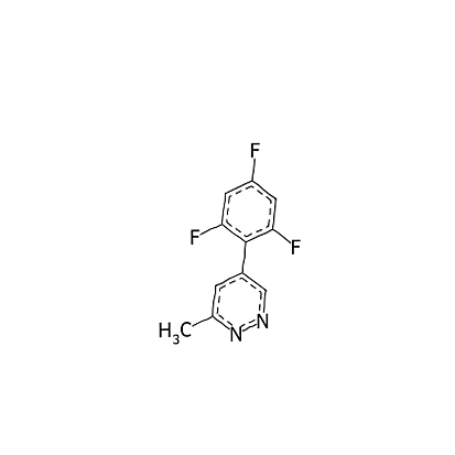 Cc1cc(-c2c(F)cc(F)cc2F)cnn1